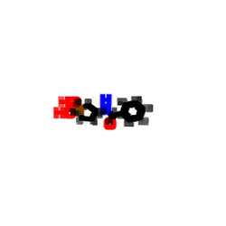 O=C(N[C@@H]1CCS(O)(O)C1)c1ccccc1